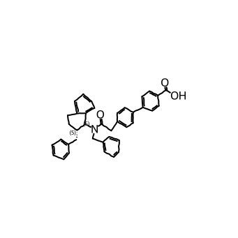 O=C(O)c1ccc(-c2ccc(CC(=O)N(Cc3ccccc3)[C@@H]3c4ccccc4CC[C@H]3Cc3ccccc3)cc2)cc1